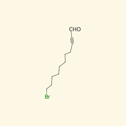 O=CC#CCCCCCCCCBr